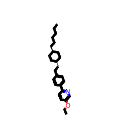 CCCCCC[C@H]1CC[C@H](CCc2ccc(-c3ccc(OCC)cn3)cc2)CC1